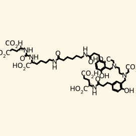 O=C(O)CC[C@H](NC(=O)CCc1ccc(O)c(CN(CCN(CC(=O)O)Cc2cc(CCC(=O)NCCCCCC(=O)NCCCC[C@H](NC(=O)N[C@@H](CCC(=O)O)C(=O)O)C(=O)O)ccc2O)CC(=O)O)c1)C(=O)O